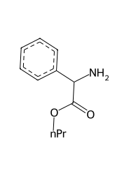 CCCOC(=O)C(N)c1ccccc1